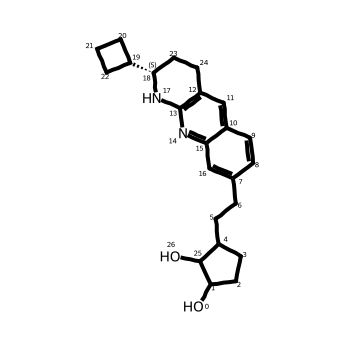 OC1CCC(CCc2ccc3cc4c(nc3c2)N[C@H](C2CCC2)CC4)C1O